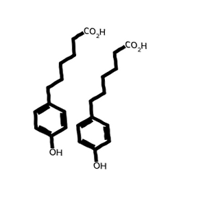 O=C(O)CCCCCc1ccc(O)cc1.O=C(O)CCCCCc1ccc(O)cc1